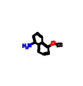 CCOc1cccc2c(N)cccc12